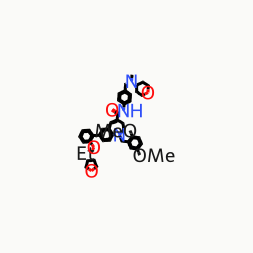 C1CCOC1.CCOc1ccccc1-c1ccc2c(c1)C=C(C(=O)Nc1ccc(CN(C)C3CCOCC3)cc1)CCN2Cc1cc(OC)ccc1OC